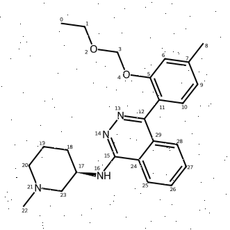 CCOCOc1cc(C)ccc1-c1nnc(N[C@@H]2CCCN(C)C2)c2ccccc12